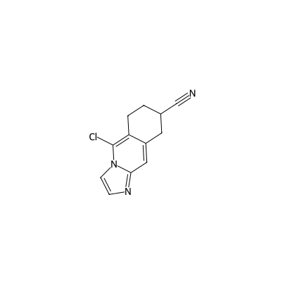 N#CC1CCc2c(cc3nccn3c2Cl)C1